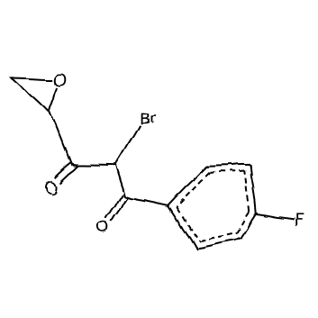 O=C(c1ccc(F)cc1)C(Br)C(=O)C1CO1